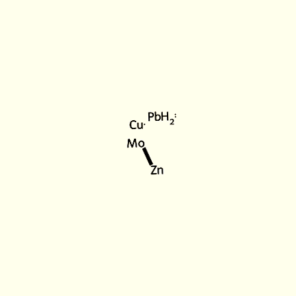 [Cu].[PbH2].[Zn][Mo]